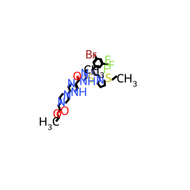 CCCSC1CCCN1C/C(=C\c1cc(Br)cc(C(F)(F)F)c1)S/C(=N\C)NC(=O)C1=CNC(N2CCN(CC(=O)OCC)CC2)C=N1